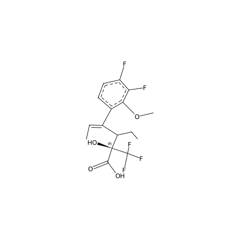 CC=C(c1ccc(F)c(F)c1OC)C(CC)[C@@](O)(C(=O)O)C(F)(F)F